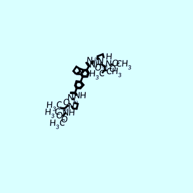 COC(=O)N[C@H](C(=O)N1CCC[C@H]1c1ncc(-c2ccc(-c3ccc(-c4cnc([C@@H]5CCCN5C(=O)[C@@H](NC(=O)OC)C(C)C)[nH]4)c4c3C3CCC4C3)cc2)[nH]1)C(C)C